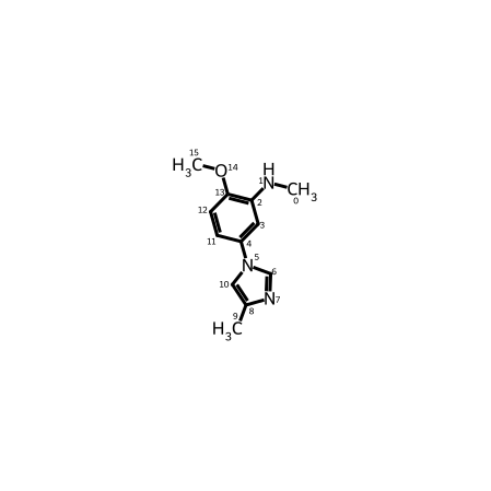 CNc1cc(-n2cnc(C)c2)ccc1OC